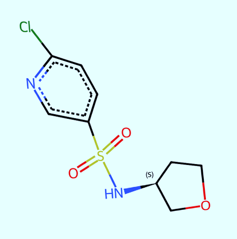 O=S(=O)(N[C@H]1CCOC1)c1ccc(Cl)nc1